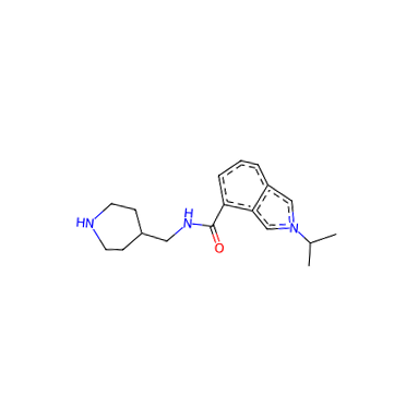 CC(C)n1cc2cccc(C(=O)NCC3CCNCC3)c2c1